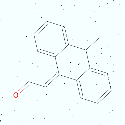 CC1c2ccccc2C(=CC=O)c2ccccc21